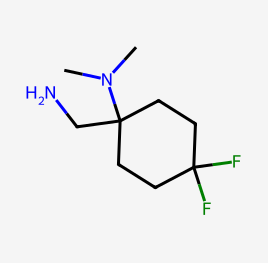 CN(C)C1(CN)CCC(F)(F)CC1